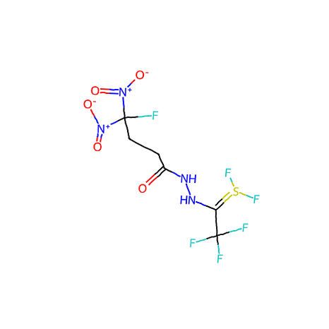 O=C(CCC(F)([N+](=O)[O-])[N+](=O)[O-])NNC(=S(F)F)C(F)(F)F